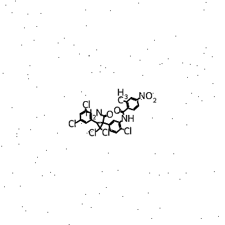 Cc1cc([N+](=O)[O-])ccc1C(=O)Nc1cc(C2(C(N)=O)C(c3cc(Cl)cc(Cl)c3)C2(Cl)Cl)ccc1Cl